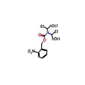 CCCCCCCCC(CC)N(C(=O)OCc1ccccc1[N+](=O)[O-])C(CC)CCCCCCCC